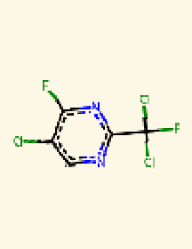 Fc1nc(C(F)(Cl)Cl)n[c]c1Cl